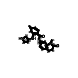 Cc1ccc(C(=O)Nc2ccc3c(c2)N(C)C(=O)CC3)c(N[C@H]2CCNC2)c1